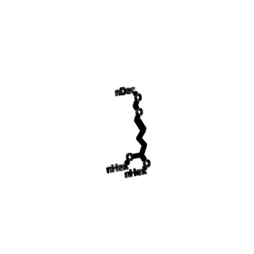 CCCCCCCCCCOCOC=CCCC(OCCCCCC)OCCCCCC